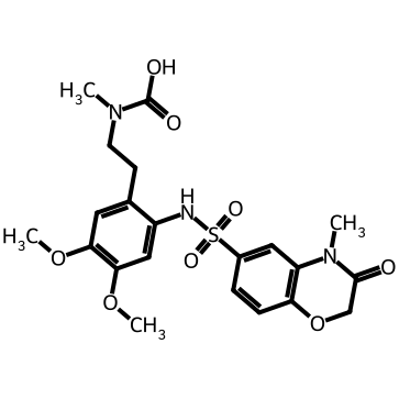 COc1cc(CCN(C)C(=O)O)c(NS(=O)(=O)c2ccc3c(c2)N(C)C(=O)CO3)cc1OC